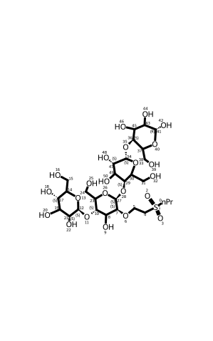 CCCS(=O)(=O)CCO[C@H]1C(O)[C@H](O[C@@H]2OC(CO)[C@@H](O)C(O)[C@@H]2O)C(CO)O[C@H]1O[C@@H]1C(CO)O[C@@H](O[C@@H]2C(CO)O[C@@H](O)C(O)C2O)[C@@H](O)C1O